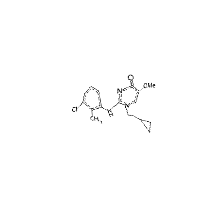 COc1cn(CC2CC2)c(Nc2cccc(Cl)c2C)nc1=O